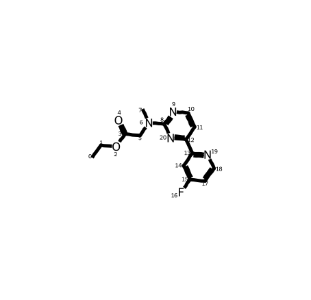 CCOC(=O)CN(C)c1nccc(-c2cc(F)ccn2)n1